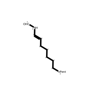 CCCCCCCCCCC=CN[C]=O